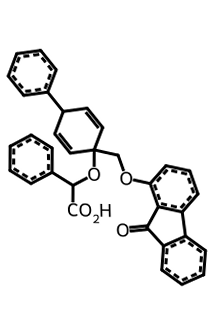 O=C1c2ccccc2-c2cccc(OCC3(OC(C(=O)O)c4ccccc4)C=CC(c4ccccc4)C=C3)c21